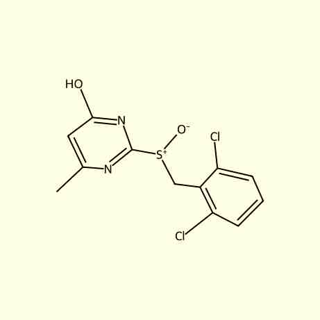 Cc1cc(O)nc([S+]([O-])Cc2c(Cl)cccc2Cl)n1